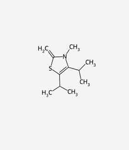 C=C1SC(C(C)C)=C(C(C)C)N1C